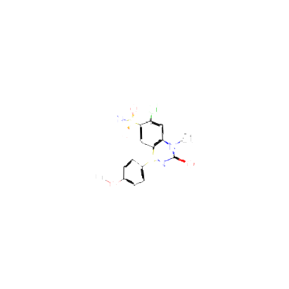 CCOc1ccc(S2=NC(=O)N(CC)c3cc(Cl)c(S(N)(=O)=O)cc32)cc1